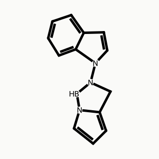 B1N(n2ccc3ccccc32)Cc2cccn21